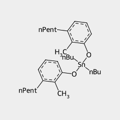 CCCCCc1cccc([O][Sn]([CH2]CCC)([CH2]CCC)[O]c2cccc(CCCCC)c2C)c1C